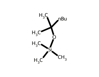 CCCCC(C)(C)O[Si](C)(C)C